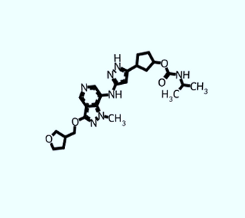 CC(C)NC(=O)OC1CCC(c2cc(Nc3cncc4c(OCC5CCOC5)nn(C)c34)n[nH]2)C1